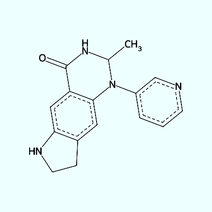 CC1NC(=O)c2cc3c(cc2N1c1cccnc1)CCN3